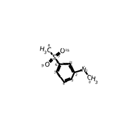 C[N]c1cccc(S(C)(=O)=O)c1